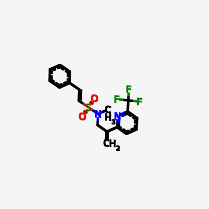 C=C(CN(C)S(=O)(=O)C=Cc1ccccc1)c1cccc(C(F)(F)F)n1